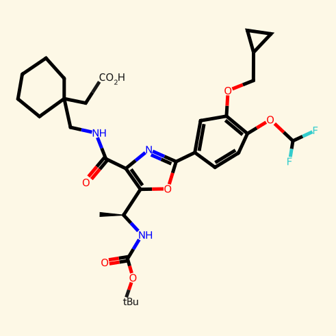 C[C@H](NC(=O)OC(C)(C)C)c1oc(-c2ccc(OC(F)F)c(OCC3CC3)c2)nc1C(=O)NCC1(CC(=O)O)CCCCC1